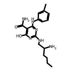 CCCCC(N)CNc1nc(O)c(C(N)=O)c(Nc2cccc(C)c2)n1